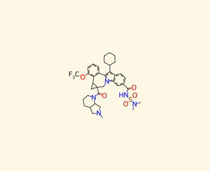 CN1CC2CCCN(C(=O)C34CC3c3c(OC(F)(F)F)cccc3-c3c(C5CCCCC5)c5ccc(C(=O)NS(=O)(=O)N(C)C)cc5n3C4)C2C1